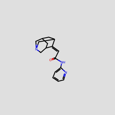 O=C(C=C1C2CC3CC1CN(C3)C2)Nc1ccccn1